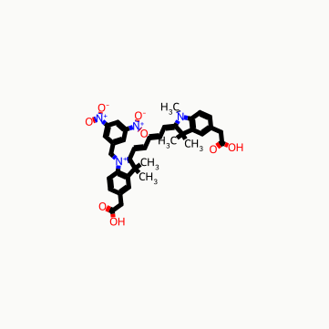 CN1/C(=C/C=C/C=C/C2=[N+](Cc3cc([N+](=O)[O-])cc([N+](=O)[O-])c3)c3ccc(CC(=O)O)cc3C2(C)C)C(C)(C)c2cc(CC(=O)O)ccc21